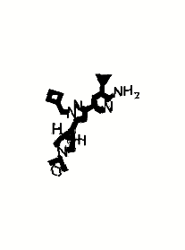 Nc1ncc(-c2cc(C3[C@H]4CN(C5COC5)C[C@@H]34)n(CC3CCC3)n2)cc1C1CC1